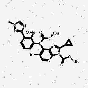 COc1c(-c2ncn(C)n2)cccc1N(C(=O)OC(C)(C)C)c1c(Br)cnc2c1nc(C1CC1)n2C(=O)OC(C)(C)C